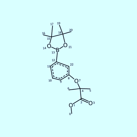 COC(=O)C(C)(C)Oc1cccc(B2OC(C)(C)C(C)(C)O2)c1